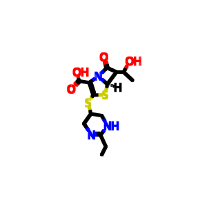 CCC1=NCC(SC2=C(C(=O)O)N3C(=O)C(C(C)O)[C@H]3S2)CN1